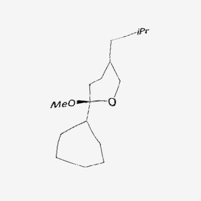 CO[C@@]1(C2CCCCC2)CC(CC(C)C)CO1